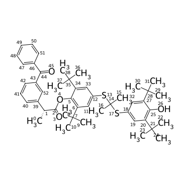 C[C@@H](C(=O)Oc1c(C(C)(C)C)cc(SC(C)(C)Sc2cc(C(C)(C)C)c(O)c(C(C)(C)C)c2)cc1C(C)(C)C)c1cccc(C(=O)c2ccccc2)c1